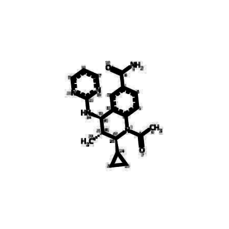 CC(=O)N1c2ccc(C(N)=O)cc2[C@H](Nc2ncccn2)[C@@H](C)[C@@H]1C1CC1